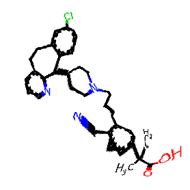 CC(C)(C(=O)O)c1ccc(C#N)c(CCCN2CCC(=C3c4ccc(Cl)cc4CCc4cccnc43)CC2)c1